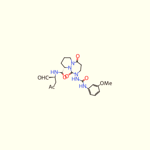 COc1cccc(NC(=O)NN2CCC(=O)N3CCC[C@@H](C(=O)N[C@H](C=O)CC(C)=O)N3C2=O)c1